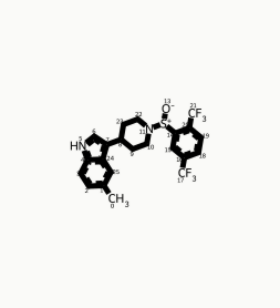 Cc1ccc2[nH]cc(C3CCN([S+]([O-])c4cc(C(F)(F)F)ccc4C(F)(F)F)CC3)c2c1